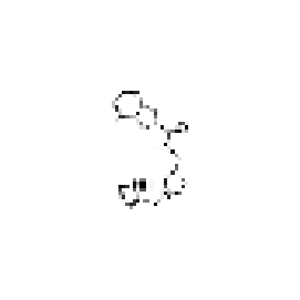 CC1=CC=CC2C=C(C(=O)NCC3CCN(Cc4ccc[nH]4)C3)C=C12